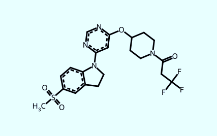 CS(=O)(=O)c1ccc2c(c1)CCN2c1cc(OC2CCN(C(=O)CC(F)(F)F)CC2)ncn1